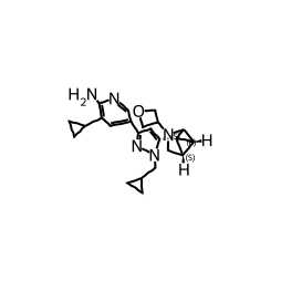 Nc1ncc(-c2cc([C@]34C5[C@@H]3[C@@H]4CN5C3COC3)n(CC3CC3)n2)cc1C1CC1